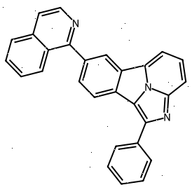 c1ccc(-c2nc3cccc4c5cc(-c6nccc7ccccc67)ccc5c2n34)cc1